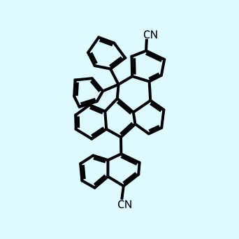 N#Cc1ccc2c(c1)C(c1ccccc1)(c1ccccc1)c1c3ccccc3c(-c3ccc(C#N)c4ccccc34)c3cccc-2c13